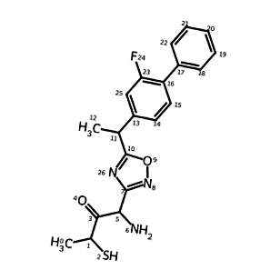 CC(S)C(=O)C(N)c1noc(C(C)c2ccc(-c3ccccc3)c(F)c2)n1